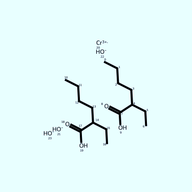 CCCCC(CC)C(=O)O.CCCCC(CC)C(=O)O.[Cr+3].[OH-].[OH-].[OH-]